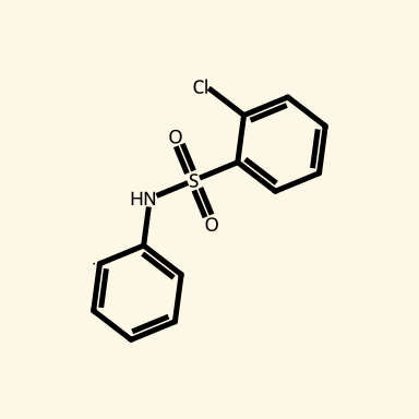 O=S(=O)(Nc1[c]cccc1)c1ccccc1Cl